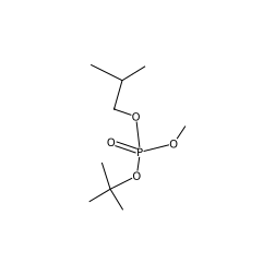 COP(=O)(OCC(C)C)OC(C)(C)C